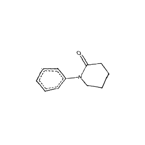 O=C1CCCCN1c1c[c]ccc1